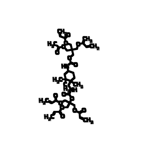 C=CC(=C)OCC(COC(C)=O)(COC(=O)C=C)COC(=O)NC1CCC(C)(CNC(=O)OC(COC(=O)C=C)(COC(=O)C=C)COC(=O)C=C)C(C)(C)C1